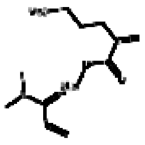 C=C(CCCOC)C(=O)O[SiH3].C=CC(=O)N(C)C